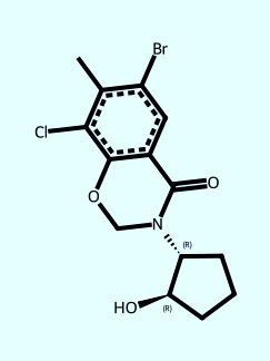 Cc1c(Br)cc2c(c1Cl)OCN([C@@H]1CCC[C@H]1O)C2=O